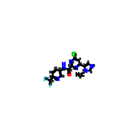 Cn1cncc1-c1cc(Cl)nc(C(=O)Nc2ccc(C(F)F)nc2)n1